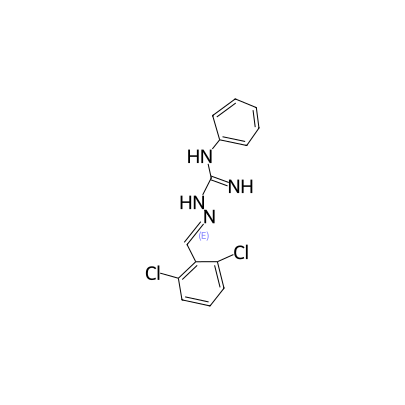 N=C(N/N=C/c1c(Cl)cccc1Cl)Nc1ccccc1